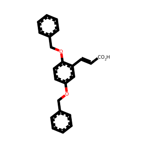 O=C(O)/C=C/c1cc(OCc2ccccc2)ccc1OCc1ccccc1